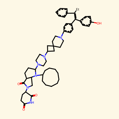 CC/C(=C(\c1ccc(O)cc1)c1ccc(N2CCC3(CC2)CC(N2CCN(C4CCC5C(=O)N(C6CCC(=O)NC6=O)CC5N4C4CCCCCCCCC4)CC2)C3)cc1)c1ccccc1